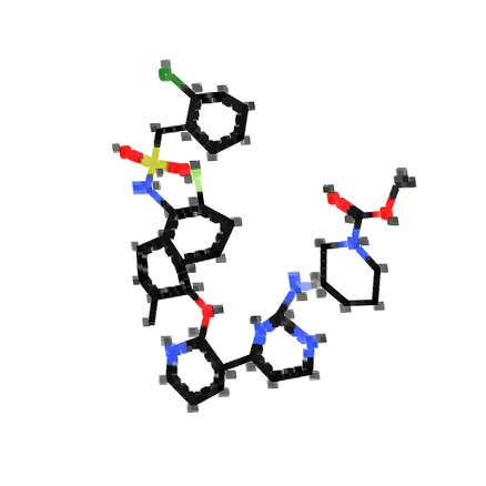 Cc1ccc2c(NS(=O)(=O)Cc3ccccc3Cl)c(F)ccc2c1Oc1ncccc1-c1ccnc(N[C@H]2CCCN(C(=O)OC(C)(C)C)C2)n1